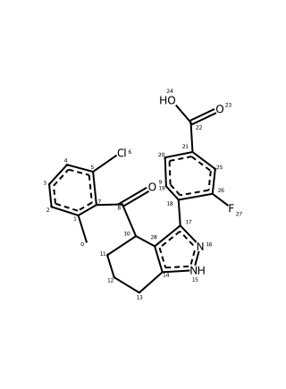 Cc1cccc(Cl)c1C(=O)C1CCCc2[nH]nc(-c3ccc(C(=O)O)cc3F)c21